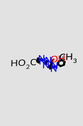 C[C@@H]1CCC[C@@H](n2ncc3nc(-n4cc(C(=O)O)cn4)nc(O)c32)C1